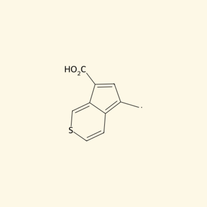 [CH2]c1cc(C(=O)O)c2csccc1-2